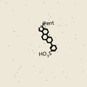 CCC[C@@H](C)[C@H]1CCC2C3CCC4CC(C5=CC(S(=O)(=O)O)=CC[CH]5)CC[C@]4(C)C3CC[C@@]21C